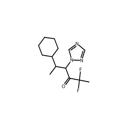 CC(C1CCCCC1)C(C(=O)C(C)(F)F)n1cncn1